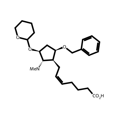 CN[C@H]1[C@H](C/C=C\CCCC(=O)O)[C@H](OCc2ccccc2)C[C@@H]1OC1CCCCO1